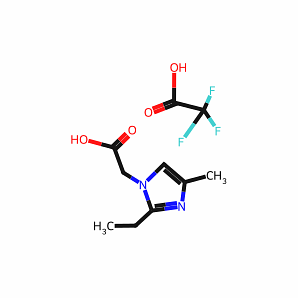 CCc1nc(C)cn1CC(=O)O.O=C(O)C(F)(F)F